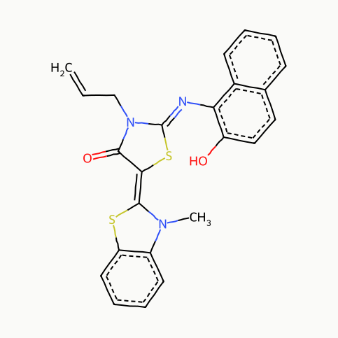 C=CCN1C(=O)C(=C2Sc3ccccc3N2C)SC1=Nc1c(O)ccc2ccccc12